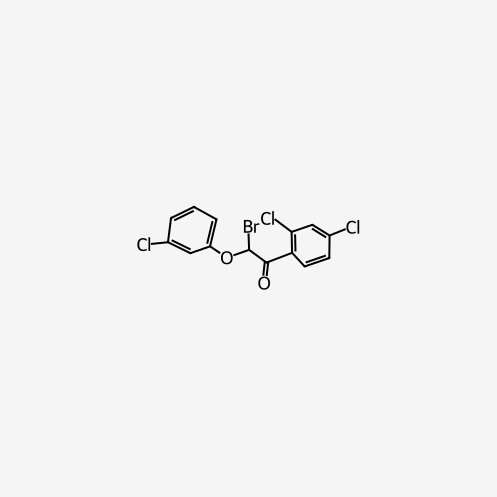 O=C(c1ccc(Cl)cc1Cl)C(Br)Oc1cccc(Cl)c1